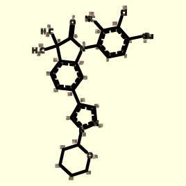 CC(C)(C)c1ccc(N2C(=O)C(C)(C)c3ccc(-c4cnn(C5CCCCO5)c4)cc32)c(C#N)c1Cl